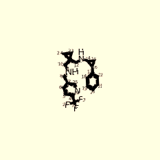 FC(F)(F)c1ccc(CNCC2(CNC3CC3c3ccccc3)CC2)cn1